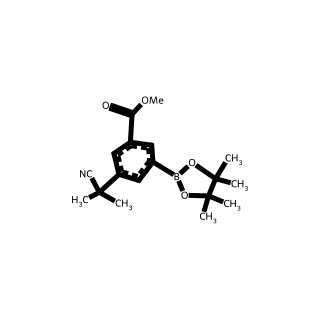 COC(=O)c1cc(B2OC(C)(C)C(C)(C)O2)cc(C(C)(C)C#N)c1